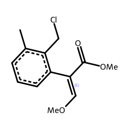 CO/C=C(/C(=O)OC)c1cccc(C)c1CCl